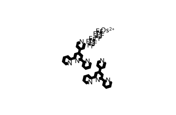 F[P-](F)(F)(F)(F)F.F[P-](F)(F)(F)(F)F.[Os+2].c1ccc(-c2cc(-c3ccncc3)cc(-c3ccccn3)n2)nc1.c1ccc(-c2cc(-c3ccncc3)cc(-c3ccccn3)n2)nc1